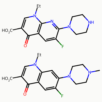 CCn1cc(C(=O)O)c(=O)c2cc(F)c(N3CCN(C)CC3)cc21.CCn1cc(C(=O)O)c(=O)c2cc(F)c(N3CCNCC3)nc21